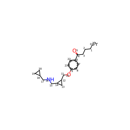 CC(C)CCCC(=O)c1ccc(OCC2CC2CNCC2CC2)cc1